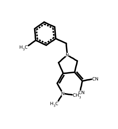 Cc1cccc(CN2CC(=C(C#N)C#N)/C(=C\N(C)C)C2)c1